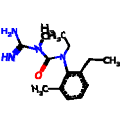 CCc1cccc(C)c1N(CC)C(=O)N(C)C(=N)N